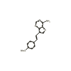 COc1ccc(/C=C/c2csc3c(N)ncnc23)cc1